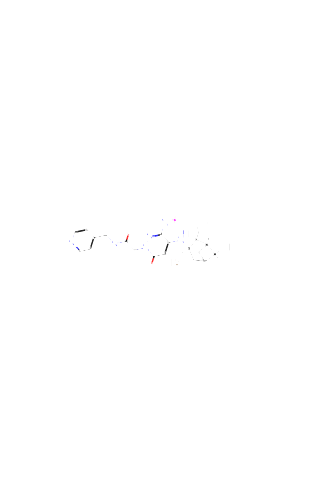 C[C@H]1[C@H]2C[C@H](C[C@H]1Nc1c([N+](=O)[O-])nn(CC(=O)NCc3ccncc3)c(=O)c1Br)C2(C)C